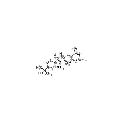 Cc1cc(C(C)(C)O)ccc1S(=O)(=O)NC(=O)Cc1c(C(C)C)cc(F)cc1C(C)C